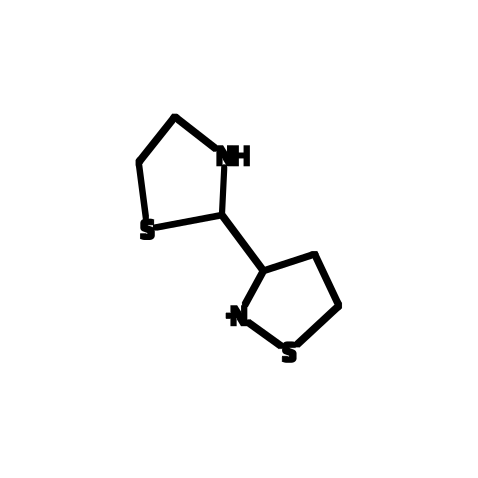 C1CSC(C2CCS[N]2)N1